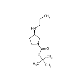 CCCN[C@@H]1CCN(C(=O)OC(C)(C)C)C1